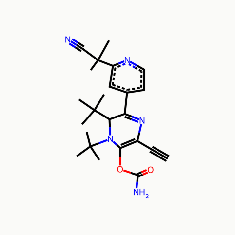 C#CC1=C(OC(N)=O)N(C(C)(C)C)C(C(C)(C)C)C(c2ccnc(C(C)(C)C#N)c2)=N1